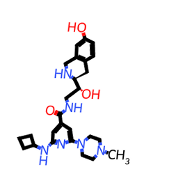 CN1CCN(c2cc(C(=O)NC[C@@H](O)[C@@H]3Cc4ccc(O)cc4CN3)cc(NC3CCC3)n2)CC1